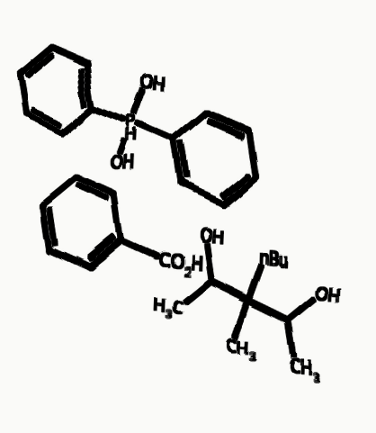 CCCCC(C)(C(C)O)C(C)O.O=C(O)c1ccccc1.O[PH](O)(c1ccccc1)c1ccccc1